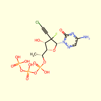 C[C@@H](OP(=O)(O)OP(=O)(O)OP(=O)(O)O)[C@H]1O[C@@H](n2ncc(N)nc2=O)C(F)(C#CCl)[C@H]1O